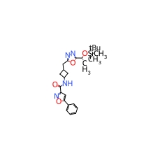 C[C@@H](O[Si](C)(C)C(C)(C)C)c1nnc(CC2CC(NC(=O)c3cc(-c4ccccc4)on3)C2)o1